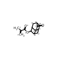 C=C(C)C(=O)OC1C2CC3CC(C2)C(=O)OC1C3